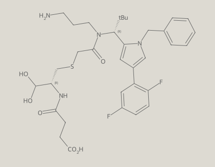 CC(C)(C)[C@H](c1cc(-c2cc(F)ccc2F)cn1Cc1ccccc1)N(CCCN)C(=O)CSC[C@H](NC(=O)CCC(=O)O)C(O)O